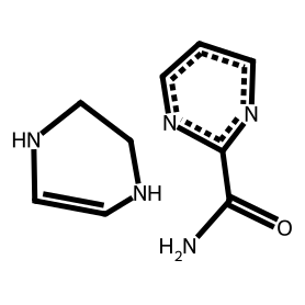 C1=CNCCN1.NC(=O)c1ncccn1